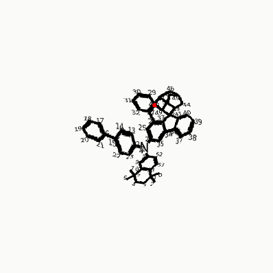 CC1(C)CCC(C)(C)c2cc(N(c3ccc(-c4ccccc4)cc3)c3cc(-c4ccccc4)c4c(c3)-c3ccccc3C43C4CC5CC6CC3C64C5)ccc21